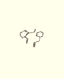 C=CCc1ccccc1.C=Cc1ccccc1C=C